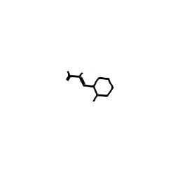 C/C(=C\C1CCCCC1Cl)C(=O)O